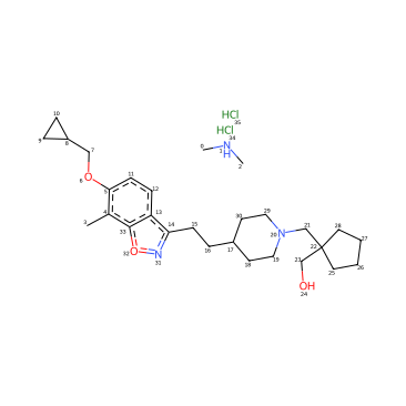 CNC.Cc1c(OCC2CC2)ccc2c(CCC3CCN(CC4(CO)CCCC4)CC3)noc12.Cl.Cl